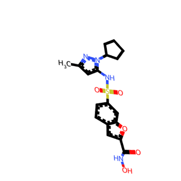 Cc1cc(NS(=O)(=O)c2ccc3cc(C(=O)NO)oc3c2)n(C2CCCC2)n1